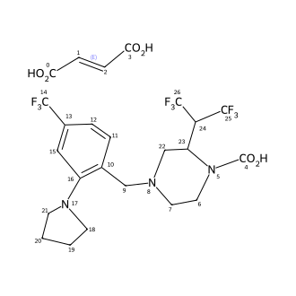 O=C(O)/C=C/C(=O)O.O=C(O)N1CCN(Cc2ccc(C(F)(F)F)cc2N2CCCC2)CC1C(C(F)(F)F)C(F)(F)F